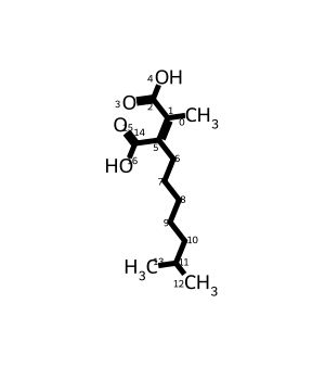 C/C(C(=O)O)=C(\CCCCCC(C)C)C(=O)O